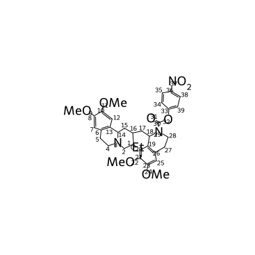 CCC1CN2CCc3cc(OC)c(OC)cc3C2CC1CC1c2cc(OC)c(OC)cc2CCN1C(=O)Oc1ccc([N+](=O)[O-])cc1